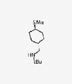 CS[C@H]1CC[C@H](CNC(C)(C)C)CC1